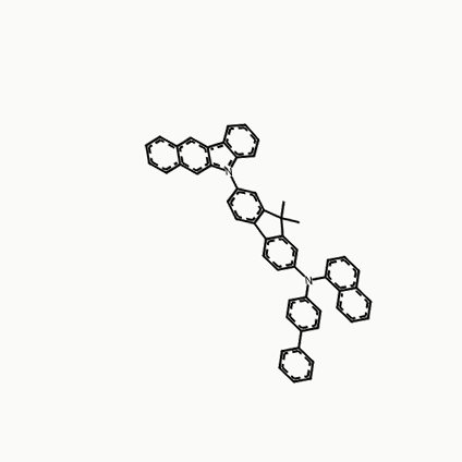 CC1(C)c2cc(N(c3ccc(-c4ccccc4)cc3)c3cccc4ccccc34)ccc2-c2ccc(-n3c4ccccc4c4cc5ccccc5cc43)cc21